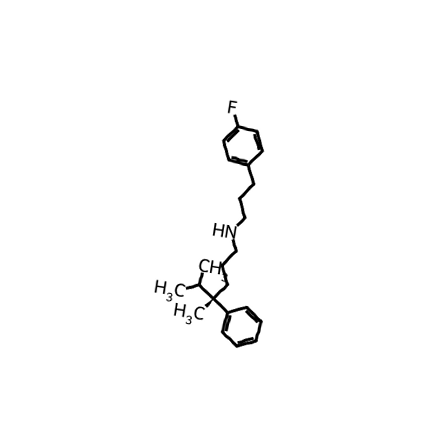 CC(C)[C@](C)(CCCNCCCc1ccc(F)cc1)c1ccccc1